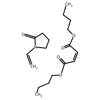 C=CN1CCCC1=O.CCCCOC(=O)/C=C\C(=O)OCCCC